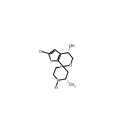 CCN1CC[C@]2(C[C@@H]1C)OC[C@@H](O)c1cc(Cl)sc12